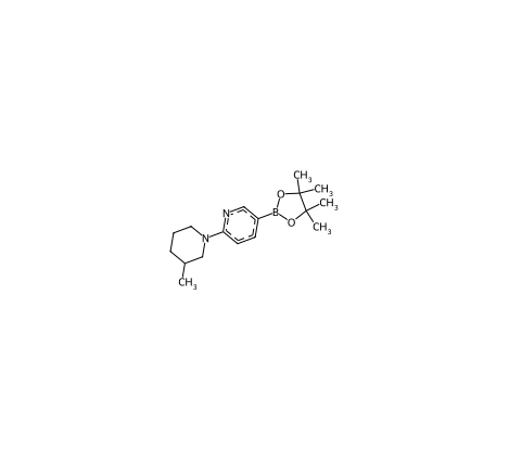 CC1CCCN(c2ccc(B3OC(C)(C)C(C)(C)O3)cn2)C1